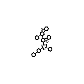 c1ccc(-c2ccc(-c3nc(-c4ccccc4)nc(-c4ccc(-c5cc6c(cc5-c5ccccc5)sc5ccccc56)c5c4oc4ccccc45)n3)cc2)cc1